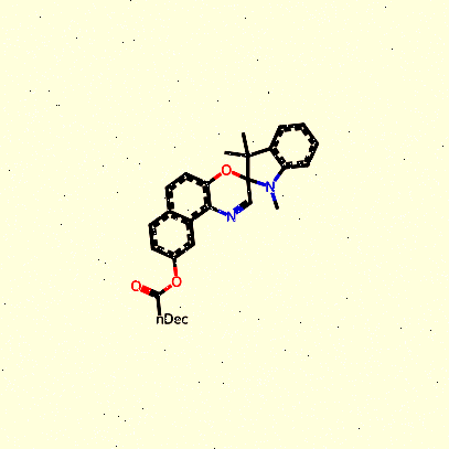 CCCCCCCCCCC(=O)Oc1ccc2ccc3c(c2c1)N=CC1(O3)N(C)c2ccccc2C1(C)C